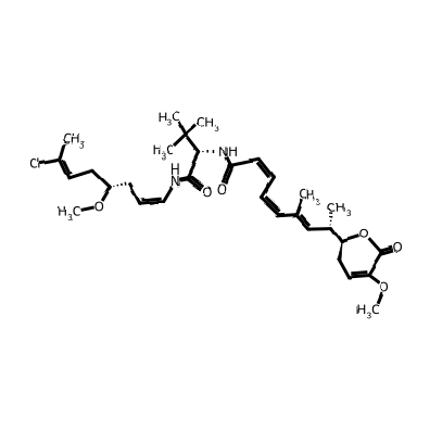 COC1=CC[C@@H]([C@@H](C)/C=C(C)/C=C\C=C/C(=O)N[C@H](C(=O)N/C=C\C[C@@H](C/C=C(\C)Cl)OC)C(C)(C)C)OC1=O